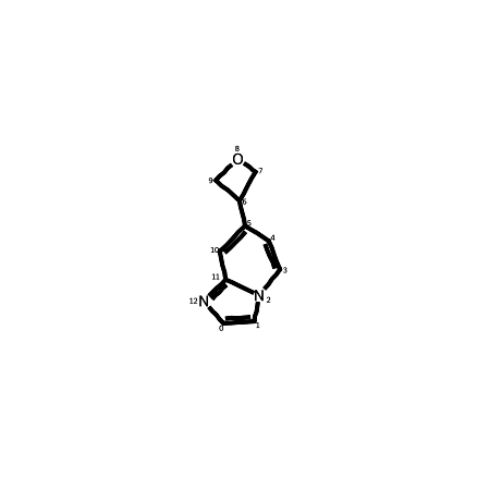 c1cn2ccc(C3COC3)cc2n1